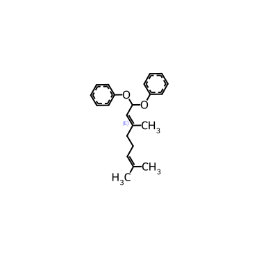 CC(C)=CCC/C(C)=C/C(Oc1ccccc1)Oc1ccccc1